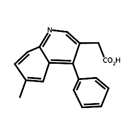 Cc1ccc2ncc(CC(=O)O)c(-c3ccccc3)c2c1